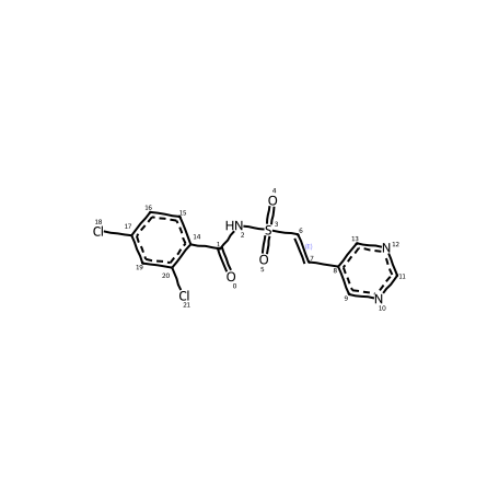 O=C(NS(=O)(=O)/C=C/c1cncnc1)c1ccc(Cl)cc1Cl